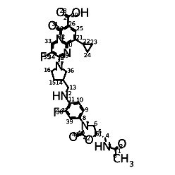 CC(=O)NC[C@H]1CN(c2ccc(NCC3CCN(c4nc5c(C6CC6)cc(C(=O)O)c(=O)n5cc4F)C3)c(F)c2)C(=O)O1